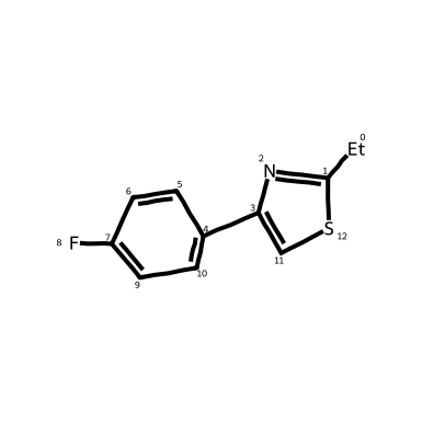 CCc1nc(-c2ccc(F)cc2)cs1